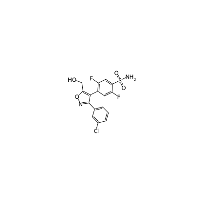 NS(=O)(=O)c1cc(F)c(-c2c(-c3cccc(Cl)c3)noc2CO)cc1F